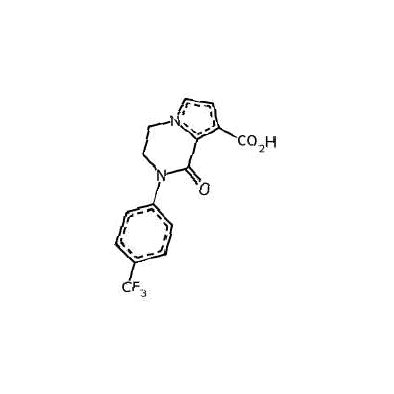 O=C(O)c1ccn2c1C(=O)N(c1ccc(C(F)(F)F)cc1)CC2